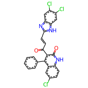 O=C(C=Cc1nc2cc(Cl)c(Cl)cc2[nH]1)c1c(-c2ccccc2)c2cc(Cl)ccc2[nH]c1=O